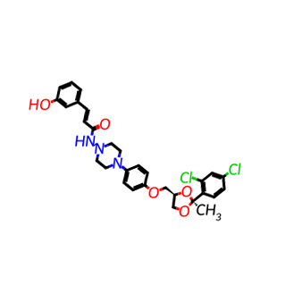 C[C@]1(c2ccc(Cl)cc2Cl)OC[C@@H](COc2ccc(N3CCN(NC(=O)C=Cc4cccc(O)c4)CC3)cc2)O1